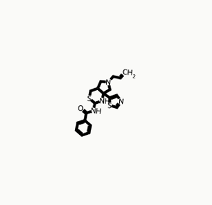 C=CCN1CC2CSC(NC(=O)c3ccccc3)NC2(c2cncs2)C1